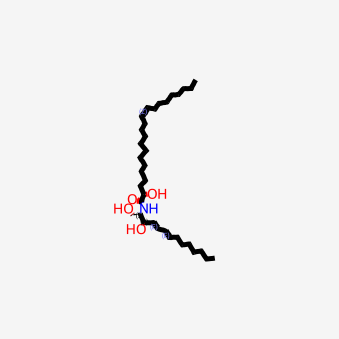 CCCCCCC/C=C/C=C/[C@@H](O)[C@H](CO)NC(=O)C(O)CCCCCCCCCC/C=C\CCCCCCCC